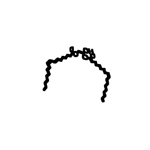 CCCCCCCC/C=C\CCCCCCCC(=O)OCC(O)OC(=O)CCCCCCC/C=C\CCCCCCCC